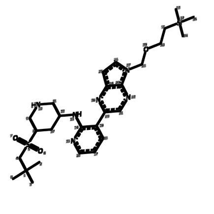 CC(C)(C)CS(=O)(=O)C1CNCC(Nc2ncccc2-c2cnc3c(ccn3COCC[Si](C)(C)C)n2)C1